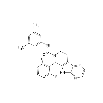 Cc1cc(C)cc(NC(=O)N2CCc3c([nH]c4ncccc34)C2c2c(F)cccc2F)c1